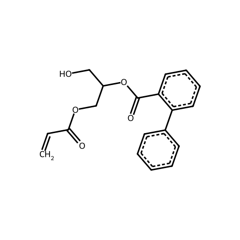 C=CC(=O)OCC(CO)OC(=O)c1ccccc1-c1ccccc1